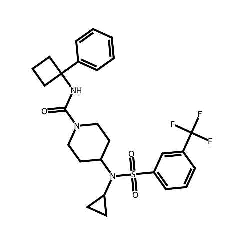 O=C(NC1(c2ccccc2)CCC1)N1CCC(N(C2CC2)S(=O)(=O)c2cccc(C(F)(F)F)c2)CC1